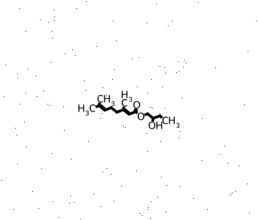 CCC(O)COC(=O)/C=C(\C)CCC=C(C)C